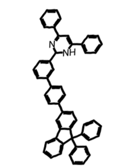 C1=C(c2ccccc2)NC(c2cccc(-c3ccc(-c4ccc5c(c4)-c4ccccc4C5(c4ccccc4)c4ccccc4)cc3)c2)N=C1c1ccccc1